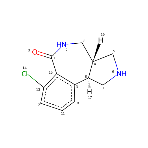 O=C1NC[C@@H]2CNC[C@H]2c2cccc(Cl)c21